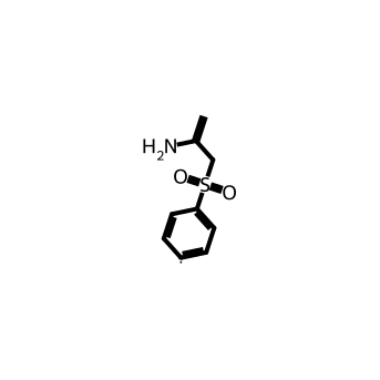 C=C(N)CS(=O)(=O)c1cc[c]cc1